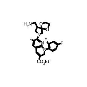 CCOC(=O)C1=Cc2cc(F)c(N3CC(CN)C4(C3)OCCO4)nc2N(c2ccc(F)cc2F)C1